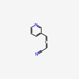 N#CC=C=Cc1cccnc1